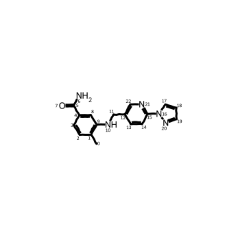 Cc1ccc(C(N)=O)cc1NCc1ccc(-n2cccn2)nc1